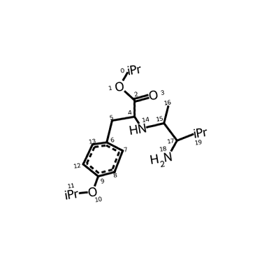 CC(C)OC(=O)C(Cc1ccc(OC(C)C)cc1)NC(C)C(N)C(C)C